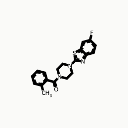 Cc1ccccc1C(=O)N1CCN(c2nc3ccc(F)cc3s2)CC1